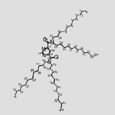 CCCCCCCCCCCCN(CCCCCCCCCCCC)C(=O)c1cc(C(=O)N(CCCCCCCCCCCC)CCCCCCCCCCCC)ncn1